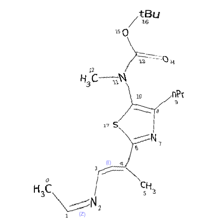 C/C=N\C=C(/C)c1nc(CCC)c(N(C)C(=O)OC(C)(C)C)s1